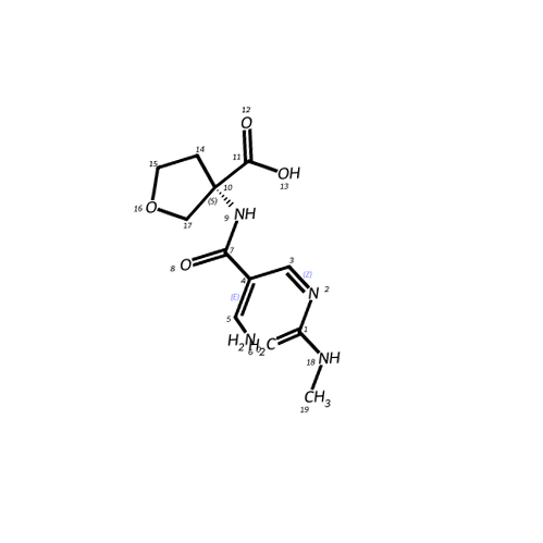 C=C(/N=C\C(=C/N)C(=O)N[C@@]1(C(=O)O)CCOC1)NC